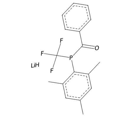 Cc1cc(C)c(P(C(=O)c2ccccc2)C(F)(F)F)c(C)c1.[LiH]